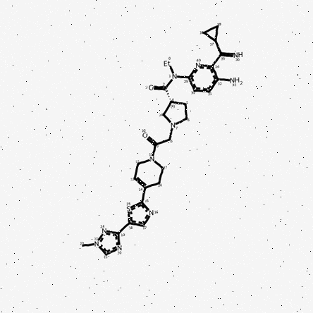 CCN(C(=O)[C@@H]1CCN(CC(=O)N2CC=C(c3ncc(-c4ncn(C)n4)s3)CC2)C1)c1ccc(N)c(C(=N)C2CC2)n1